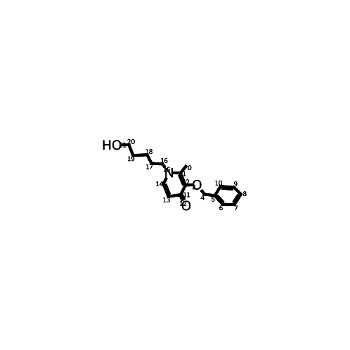 Cc1c(OCc2ccccc2)c(=O)ccn1CCCCCO